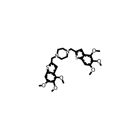 COc1cc2sc(CN3CCN(Cc4cc5c(OC)c(OC)c(OC)cc5s4)CC3)cc2c(OC)c1OC